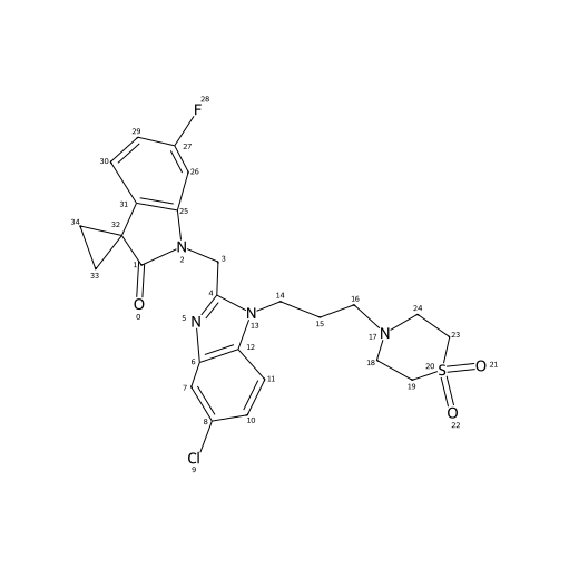 O=C1N(Cc2nc3cc(Cl)ccc3n2CCCN2CCS(=O)(=O)CC2)c2cc(F)ccc2C12CC2